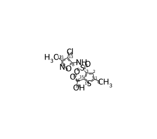 Cc1cc(S(=O)(=O)Nc2onc(C)c2Cl)c(C(=O)O)s1